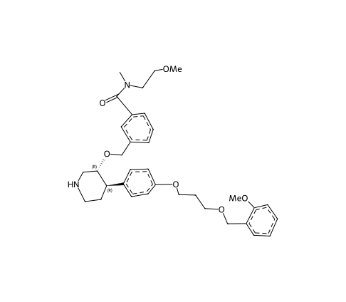 COCCN(C)C(=O)c1cccc(CO[C@H]2CNCC[C@@H]2c2ccc(OCCCOCc3ccccc3OC)cc2)c1